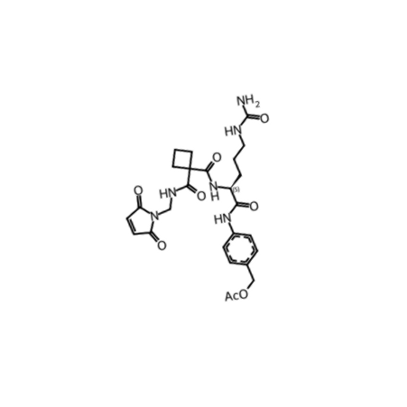 CC(=O)OCc1ccc(NC(=O)[C@H](CCCNC(N)=O)NC(=O)C2(C(=O)NCN3C(=O)C=CC3=O)CCC2)cc1